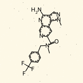 CN(Cc1ccc(C(F)(F)F)cc1)C(=O)c1cc2c(cn1)nc(N)c1cnn(C)c12